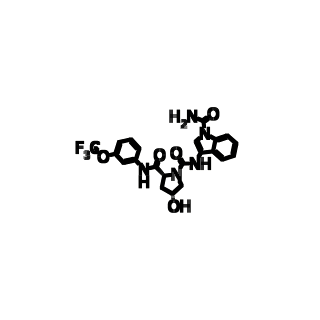 NC(=O)n1cc(NC(=O)N2C[C@H](O)C[C@H]2C(=O)Nc2cccc(OC(F)(F)F)c2)c2ccccc21